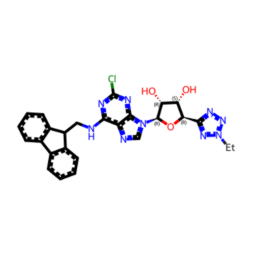 CCn1nnc([C@H]2O[C@@H](n3cnc4c(NCC5c6ccccc6-c6ccccc65)nc(Cl)nc43)[C@H](O)[C@@H]2O)n1